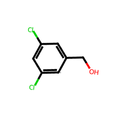 OCc1[c]c(Cl)cc(Cl)c1